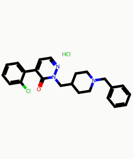 Cl.O=c1c(-c2ccccc2Cl)ccnn1CC1CCN(Cc2ccccc2)CC1